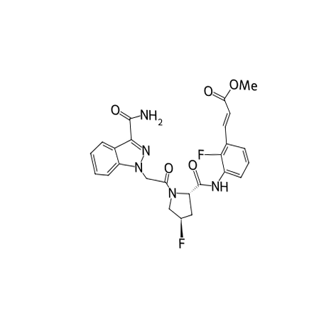 COC(=O)/C=C/c1cccc(NC(=O)[C@@H]2C[C@@H](F)CN2C(=O)Cn2nc(C(N)=O)c3ccccc32)c1F